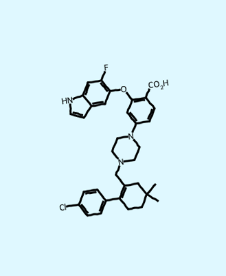 CC1(C)CCC(c2ccc(Cl)cc2)=C(CN2CCN(c3ccc(C(=O)O)c(Oc4cc5cc[nH]c5cc4F)c3)CC2)C1